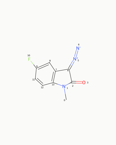 CN1C(=O)C(=[N+]=[N-])c2cc(F)ccc21